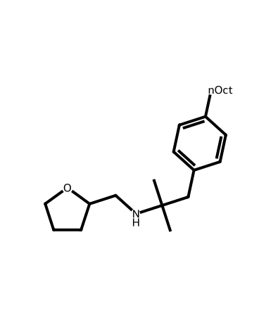 CCCCCCCCc1ccc(CC(C)(C)NCC2CCCO2)cc1